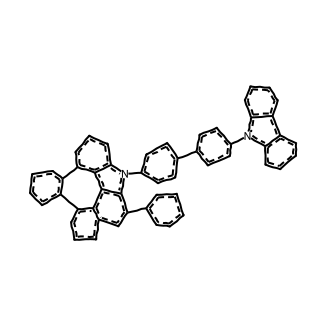 c1ccc(-c2cc3cccc4c3c3c5c(cccc5n(-c5ccc(-c6ccc(-n7c8ccccc8c8ccccc87)cc6)cc5)c23)-c2ccccc2-4)cc1